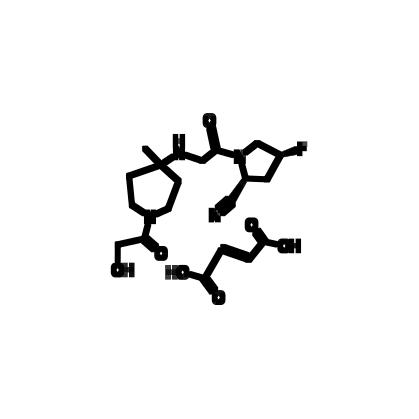 CC1(NCC(=O)N2C[C@@H](F)C[C@H]2C#N)CCN(C(=O)CO)CC1.O=C(O)/C=C/C(=O)O